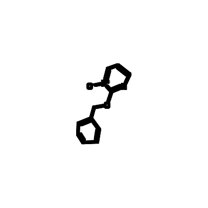 [O-][n+]1cccnc1OCc1ccccc1